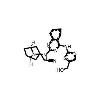 N#CCCN1[C@@H]2CC[C@H]1C[C@H](Nc1nc(Nc3ncc(CO)s3)c3ccccc3n1)C2